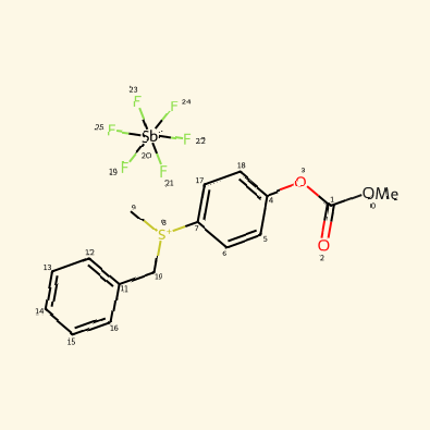 COC(=O)Oc1ccc([S+](C)Cc2ccccc2)cc1.[F][Sb-]([F])([F])([F])([F])[F]